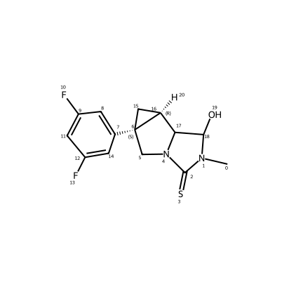 CN1C(=S)N2C[C@@]3(c4cc(F)cc(F)c4)C[C@H]3C2C1O